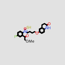 COCC(=O)c1cc(F)ccc1[N+](=CCCCOc1ccc2c(c1)CCC(=O)N2)OS